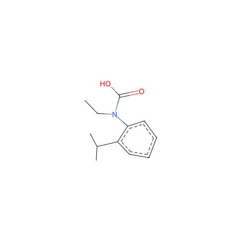 CCN(C(=O)O)c1ccccc1C(C)C